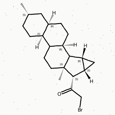 C[C@H]1CC[C@@H]2C3CC[C@@]4(C)C([C@@H]3CC[C@@H]2C1)[C@@H]1C[C@@H]1[C@@H]4C(=O)CBr